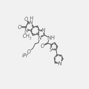 CC(C)OCCCn1c(NC(=O)c2ccc(-c3ccncc3)s2)nc2cc3[nH]c(=O)c(=O)n(C)c3cc21